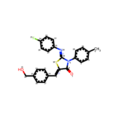 Cc1ccc(N2C(=O)/C(=C/c3ccc(CO)cc3)S/C2=N\c2ccc(F)cc2)cc1